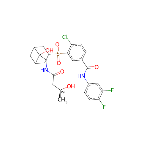 C[C@H](O)CC(=O)NCC1(O)C2CC1CC(S(=O)(=O)c1cc(C(=O)Nc3ccc(F)c(F)c3)ccc1Cl)C2